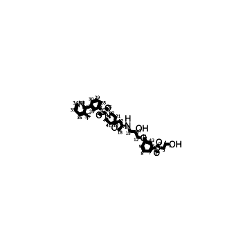 O=S(=O)(CCO)c1cccc(OCC(O)CN[C@H]2COC3(CCN(S(=O)(=O)c4cccc(-c5ncccc5F)c4)CC3)C2)c1